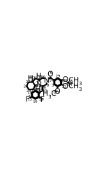 COc1cc(C(=O)N2C/C(=C/c3ccc(F)cc3F)N3[C@@H](C[C@@H]4CCCC[C@@H]43)C2)cc2c1OC(C)(C)O2